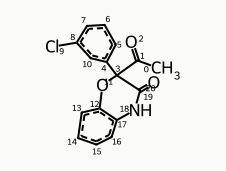 CC(=O)C1(c2cccc(Cl)c2)Oc2ccccc2NC1=O